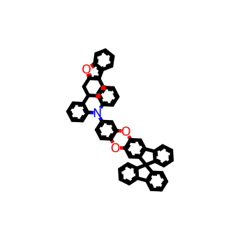 C1=CC(c2ccccc2N(c2ccccc2)c2ccc3c(c2)Oc2cc4c(cc2O3)C2(c3ccccc3-c3ccccc32)c2ccccc2-4)Cc2oc3ccccc3c21